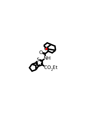 CCOC(=O)c1c(NC(=O)C23CC4CC(CC(C4)O2)C3)sc2c1C1CCC2C1